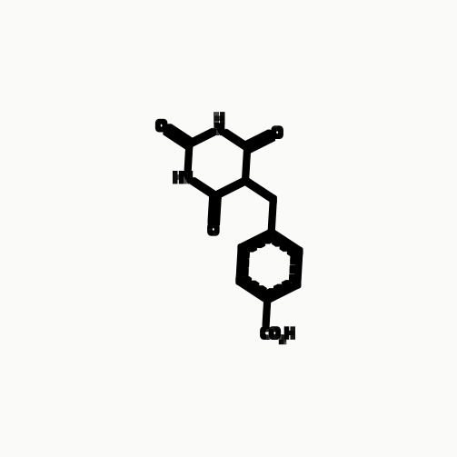 O=C1NC(=O)C(Cc2ccc(C(=O)O)cc2)C(=O)N1